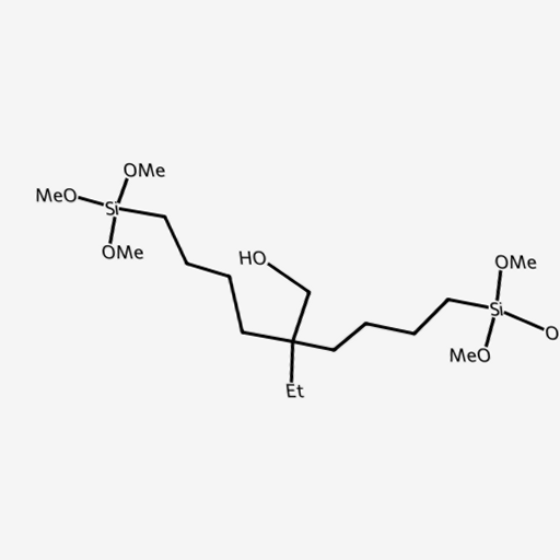 CCC(CO)(CCCC[Si](OC)(OC)OC)CCCC[Si](OC)(OC)OC